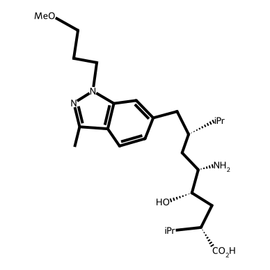 COCCCn1nc(C)c2ccc(C[C@@H](C[C@H](N)[C@@H](O)C[C@H](C(=O)O)C(C)C)C(C)C)cc21